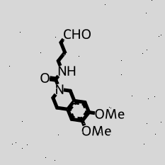 COc1cc2c(cc1OC)CN(C(=O)NCCCC=O)CC2